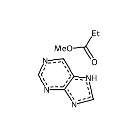 CCC(=O)OC.c1ncc2[nH]cnc2n1